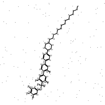 CCCCCCCCCCCCCCCC1CCC(c2ccc(-c3ccc(-c4cc(F)c(C(F)(F)Oc5cc(F)c(F)c(F)c5)c(F)c4)c(F)c3)cc2)CC1